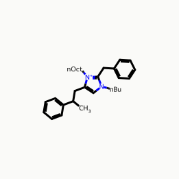 CCCCCCCC[n+]1c(CC(C)c2ccccc2)cn(CCCC)c1Cc1ccccc1